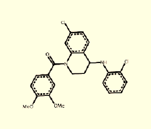 COc1ccc(C(=O)N2CCC(Nc3ccccc3Cl)c3ccc(Cl)cc32)cc1OC